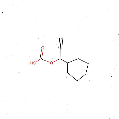 C#CC(OC(=O)O)C1CCCCC1